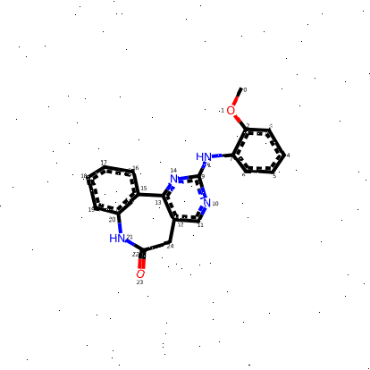 COc1ccccc1Nc1ncc2c(n1)-c1ccccc1NC(=O)C2